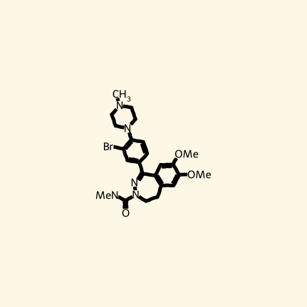 CNC(=O)N1CCc2cc(OC)c(OC)cc2C(c2ccc(N3CCN(C)CC3)c(Br)c2)=N1